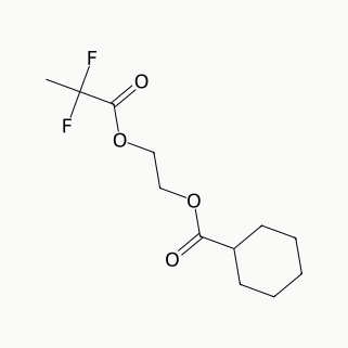 CC(F)(F)C(=O)OCCOC(=O)C1CCCCC1